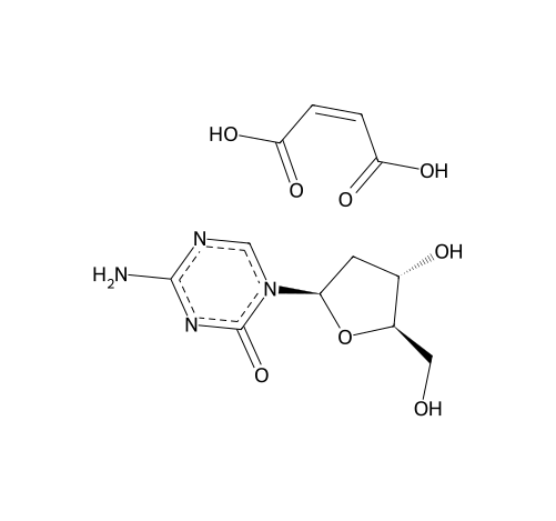 Nc1ncn([C@H]2C[C@H](O)[C@@H](CO)O2)c(=O)n1.O=C(O)/C=C\C(=O)O